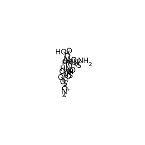 Nc1nc(C(NC(=O)c2cc(=O)c(O)cn2O)C(=O)N[C@@H]2C(=O)N3C(C(=O)[O-])=C(CSc4cc[n+](C5CC5)cc4)CS[C@H]23)cs1